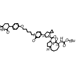 CC(C)(C)OC(=O)N[C@H]1CCCC[C@H]2CC[C@@H](C(=O)N3C[C@@H](c4ccn(CCCCCOc5ccc(C6CCC(=O)NC6=O)cc5)c(=O)c4)CC34CC4)N2C1=O